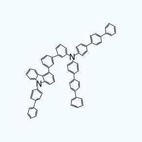 c1ccc(-c2ccc(-c3ccc(N(c4ccc(-c5ccc(-c6ccccc6)cc5)cc4)c4cccc(-c5cccc(-c6cccc7c6c6ccccc6n7-c6ccc(-c7ccccc7)cc6)c5)c4)cc3)cc2)cc1